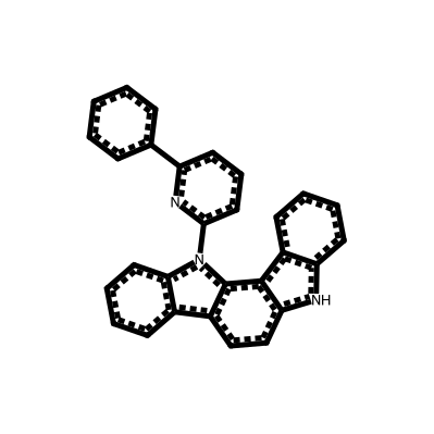 c1ccc(-c2cccc(-n3c4ccccc4c4ccc5[nH]c6ccccc6c5c43)n2)cc1